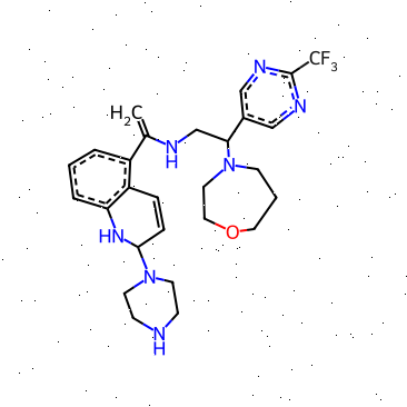 C=C(NCC(c1cnc(C(F)(F)F)nc1)N1CCCOCC1)c1cccc2c1C=CC(N1CCNCC1)N2